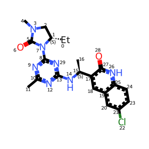 CC[C@H]1CN(C)C(=O)N1c1nc(C)nc(N[C@@H](C)c2cc3cc(Cl)ccc3[nH]c2=O)n1